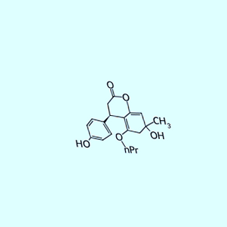 CCCOC1=C2C(=CC(C)(O)C1)OC(=O)C[C@@H]2c1ccc(O)cc1